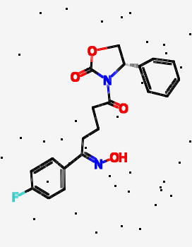 O=C(CCC/C(=N\O)c1ccc(F)cc1)N1C(=O)OC[C@@H]1c1ccccc1